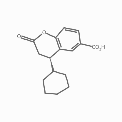 O=C1C[C@H](C2CCCCC2)c2cc(C(=O)O)ccc2O1